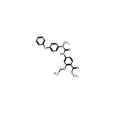 CCOc1cc(NC(=O)N(C)c2ccc(Oc3ccccc3)cc2)ccc1C(=O)OC